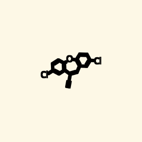 C#CC1=Cc2cc(Cl)ccc2Oc2ccc(Cl)cc21